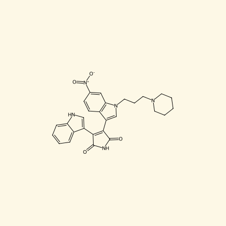 O=C1NC(=O)C(c2cn(CCCN3CCCCC3)c3cc([N+](=O)[O-])ccc23)=C1c1c[nH]c2ccccc12